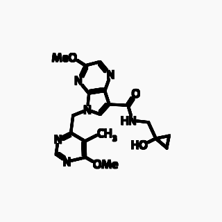 COc1cnc2c(C(=O)NCC3(O)CC3)cn(Cc3ncnc(OC)c3C)c2n1